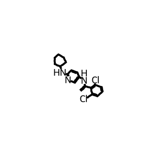 C=C(Nc1ccc(NC2CCCCC2)nc1)c1c(Cl)cccc1Cl